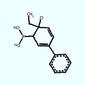 CCC1(Cl)C=CC(c2ccccc2)=CC1B(O)O